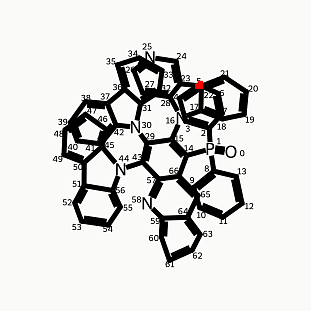 O=P(c1ccccc1)(c1ccccc1)c1c(-n2c3ccccc3c3cnccc32)c(-n2c3ccccc3c3ccccc32)c(-n2c3ccccc3c3ccccc32)c2nc3ccccc3cc12